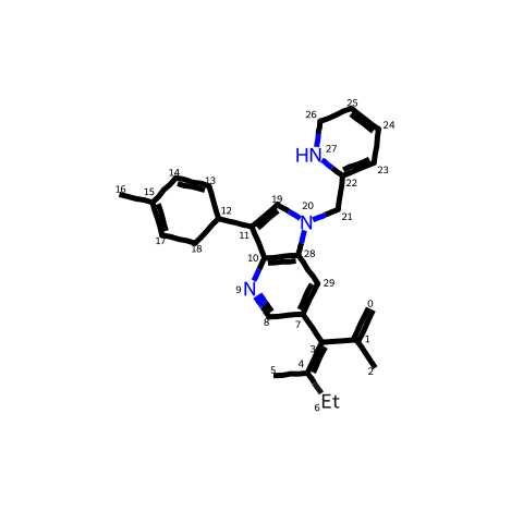 C=C(C)/C(=C(/C)CC)c1cnc2c(C3C=CC(C)=CC3)cn(CC3=CC=CCN3)c2c1